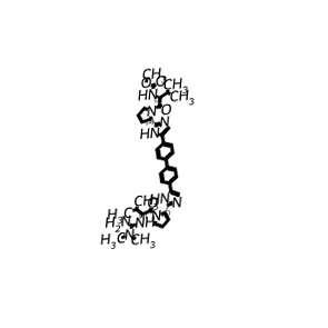 COC(=O)N[C@H](C(=O)N1CCC[C@H]1c1ncc(-c2ccc(-c3ccc(-c4cnc([C@@H]5CCCN5C(=O)[C@@H](NC(N)N(C)C)C(C)C)[nH]4)cc3)cc2)[nH]1)C(C)C